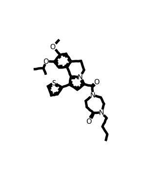 CCCCN1CCN(C(=O)c2cc(-c3cccs3)c3n2CCc2cc(OC)c(OC(C)C)cc2-3)CCC1=O